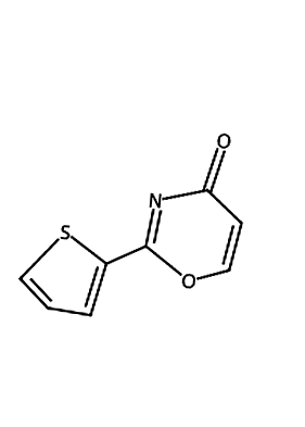 O=c1ccoc(-c2cccs2)n1